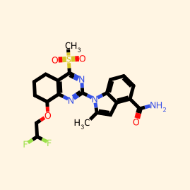 Cc1cc2c(C(N)=O)cccc2n1-c1nc2c(c(S(C)(=O)=O)n1)CCCC2OCC(F)F